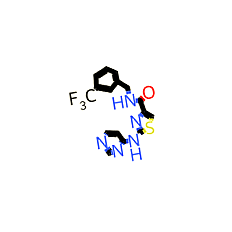 O=C(NCc1cccc(C(F)(F)F)c1)c1csc(Nc2ccncn2)n1